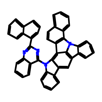 c1ccc2c(-c3nc(-n4c5ccccc5c5cc6c7ccccc7n7c8c9ccccc9ccc8c(c54)c67)c4ccccc4n3)cccc2c1